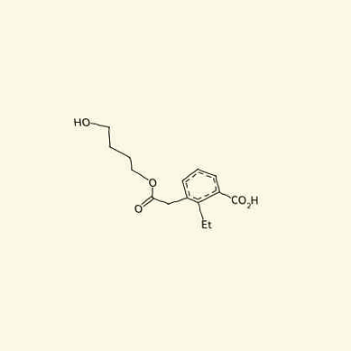 CCc1c(CC(=O)OCCCCO)cccc1C(=O)O